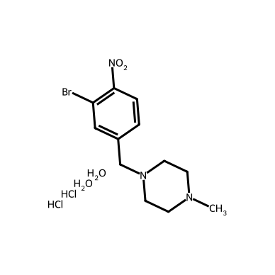 CN1CCN(Cc2ccc([N+](=O)[O-])c(Br)c2)CC1.Cl.Cl.O.O